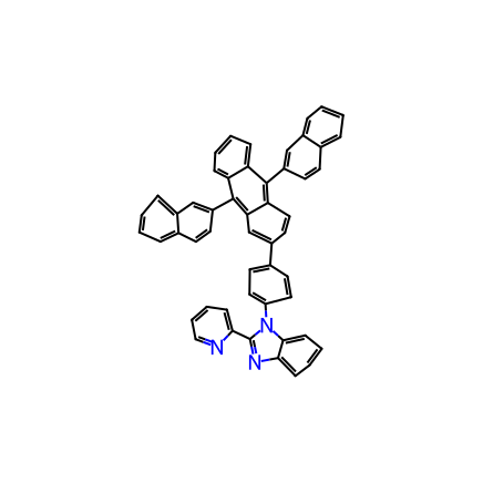 c1ccc(-c2nc3ccccc3n2-c2ccc(-c3ccc4c(-c5ccc6ccccc6c5)c5ccccc5c(-c5ccc6ccccc6c5)c4c3)cc2)nc1